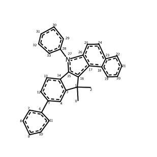 CC1(C)c2cc(-c3ccccc3)ccc2-c2c1c1c3ccccc3ccc1n2-c1ccccc1